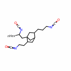 CCCCCCC(CC12CC(CCCN=C=O)C(CC1CCN=C=O)C2)N=C=O